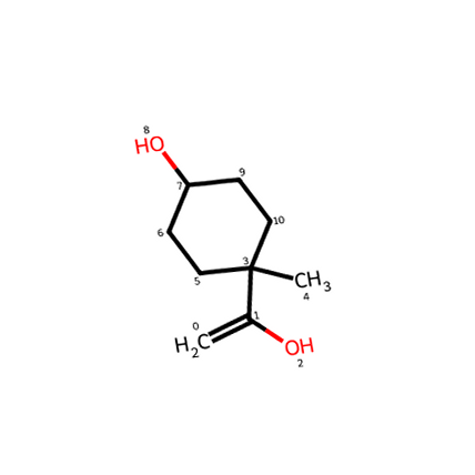 C=C(O)C1(C)CCC(O)CC1